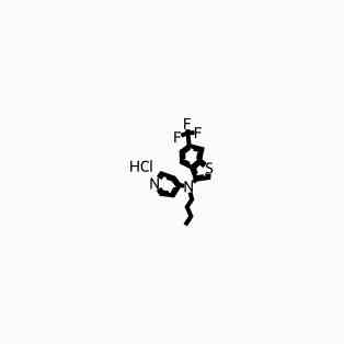 CCCCN(c1ccncc1)c1csc2cc(C(F)(F)F)ccc12.Cl